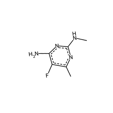 CNc1nc(C)c(F)c(N)n1